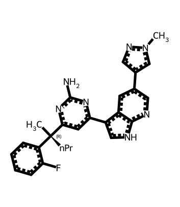 CCC[C@@](C)(c1cc(-c2c[nH]c3ncc(-c4cnn(C)c4)cc23)nc(N)n1)c1ccccc1F